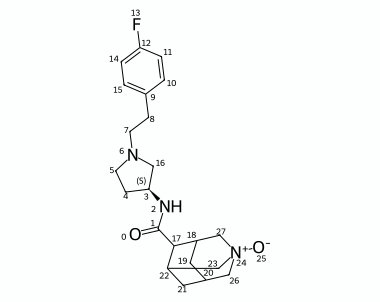 O=C(N[C@H]1CCN(CCc2ccc(F)cc2)C1)C1C2CC3CC1C[N+]([O-])(C3)C2